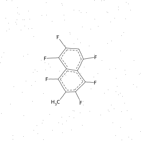 Cc1c(F)c(F)c2c(F)cc(F)c(F)c2c1F